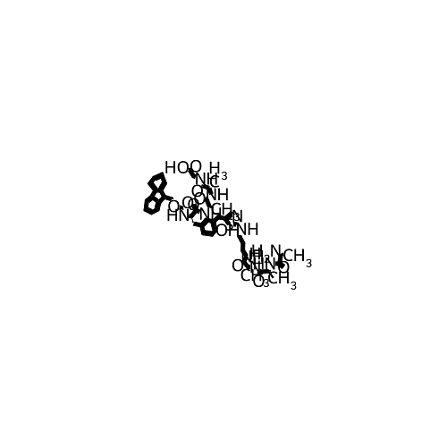 CC(NC(=O)[C@H](C)NC(=O)[C@H](Cc1ccc(O)c(Cc2cnc(NCCCNC(=O)[C@H](C)NC(=O)[C@H](C)NC(=O)[C@H](C)N)s2)c1)NC(=O)OCC1c2ccccc2-c2ccccc21)C(=O)NCC(=O)O